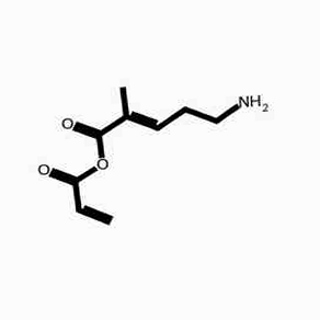 C=CC(=O)OC(=O)C(C)=CCCN